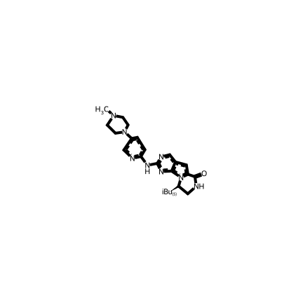 CC[C@H](C)C1CNC(=O)c2cc3cnc(Nc4ccc(N5CCN(C)CC5)cn4)nc3n21